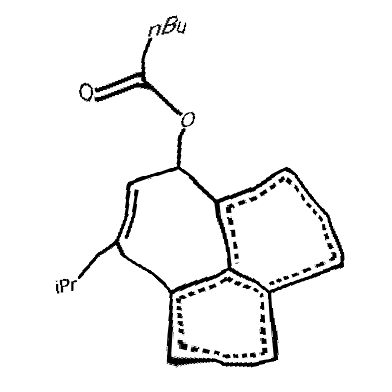 CCCCC(=O)OC1C=C(C(C)C)c2cccc3cccc1c23